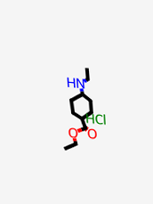 CCNC1CCC(C(=O)OCC)CC1.Cl